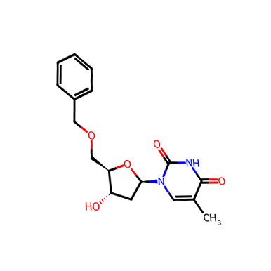 Cc1cn([C@H]2C[C@H](O)[C@@H](COCc3ccccc3)O2)c(=O)[nH]c1=O